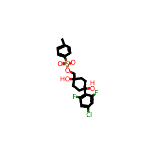 Cc1ccc(S(=O)(=O)OCC2(O)CCC(O)(c3c(F)cc(Cl)cc3F)CC2)cc1